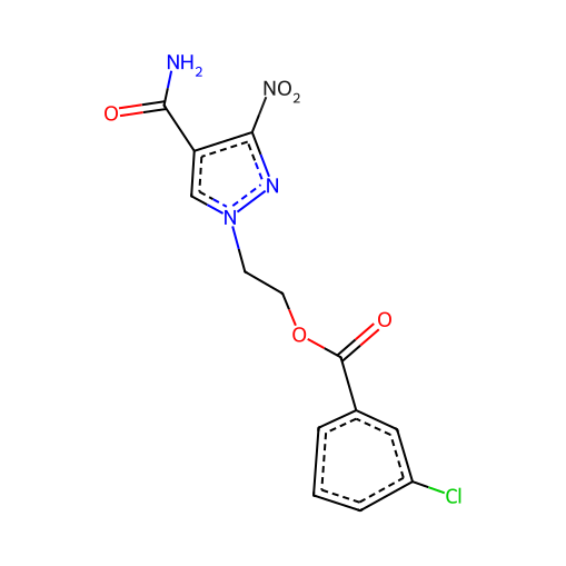 NC(=O)c1cn(CCOC(=O)c2cccc(Cl)c2)nc1[N+](=O)[O-]